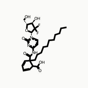 CCCCCCCCCCCC1(C(=O)Nc2ccn([C@@H]3O[C@H](CO)[C@@H](O)C3(F)F)c(=O)n2)C=CC=CC1C(=O)O